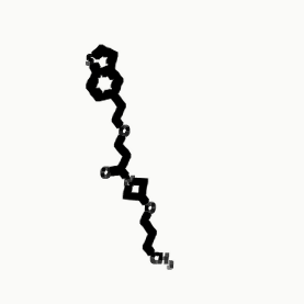 CCCCOC1CN(C(=O)CCOCCc2ccc3sccc3c2)C1